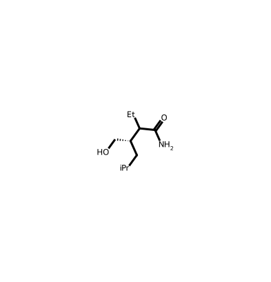 CCC(C(N)=O)[C@@H](CO)CC(C)C